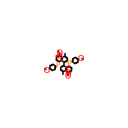 COc1ccc(P(c2ccc(OC)cc2)c2cc(C)c(OC)c(C)c2-c2c(P(c3ccc(OC)cc3)c3ccc(OC)cc3)cc(C)c(OC)c2C)cc1